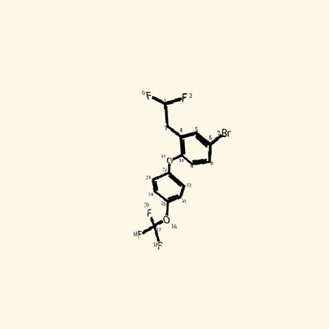 FC(F)Cc1cc(Br)ccc1Oc1ccc(OC(F)(F)F)cc1